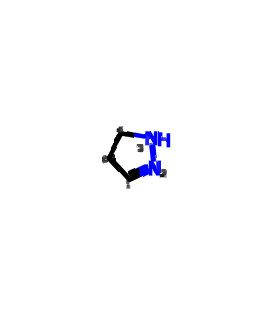 [C]1C=NNC1